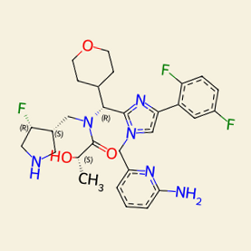 C[C@H](O)C(=O)N(C[C@@H]1CNC[C@@H]1F)[C@@H](c1nc(-c2cc(F)ccc2F)cn1Cc1cccc(N)n1)C1CCOCC1